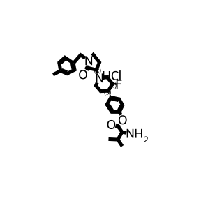 Cc1ccc(CN2CC[C@@H](N3CC[C@@H](c4ccc(OC(=O)C(N)C(C)C)cc4)[C@H](F)C3)C2=O)cc1.Cl